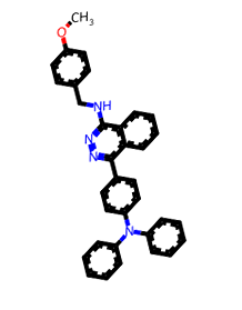 COc1ccc(CNc2nnc(-c3ccc(N(c4ccccc4)c4ccccc4)cc3)c3ccccc23)cc1